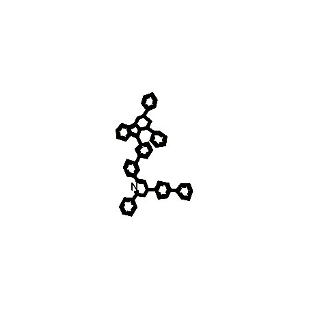 C1=C(c2cccc(-c3cccc(C4=c5ccccc5=C5CC(c6ccccc6)CC(c6ccccc6)C54)c3)c2)N=C(c2ccccc2)CC1c1ccc(-c2ccccc2)cc1